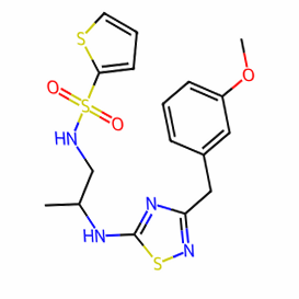 COc1cccc(Cc2nsc(NC(C)CNS(=O)(=O)c3cccs3)n2)c1